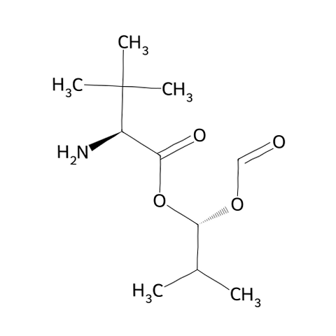 CC(C)[C@@H](OC=O)OC(=O)[C@@H](N)C(C)(C)C